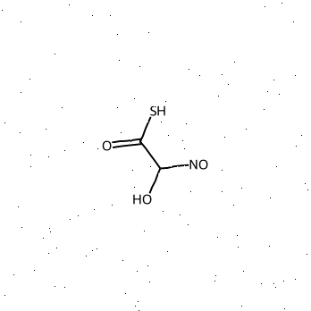 O=NC(O)C(=O)S